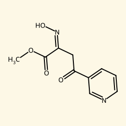 COC(=O)/C(CC(=O)c1cccnc1)=N\O